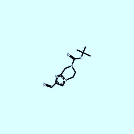 CC(C)(C)OC(=O)N1CCn2cc(C=O)nc2C1